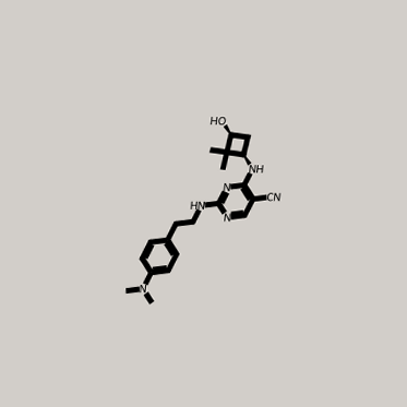 CN(C)c1ccc(CCNc2ncc(C#N)c(N[C@@H]3C[C@H](O)C3(C)C)n2)cc1